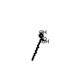 CCCCCCCCCCCCCCCCC(C(=O)O)c1ccc(O)cc1